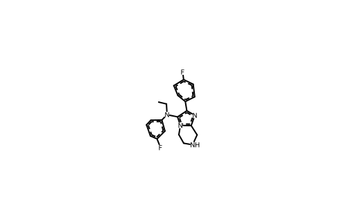 CCN(c1cccc(F)c1)c1c(-c2ccc(F)cc2)nc2n1CCNC2